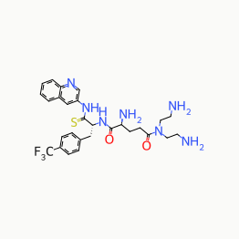 NCCN(CCN)C(=O)CC[C@H](N)C(=O)N[C@H](Cc1ccc(C(F)(F)F)cc1)C(=S)Nc1cnc2ccccc2c1